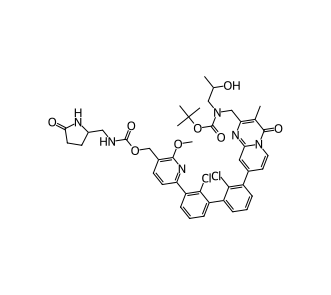 COc1nc(-c2cccc(-c3cccc(-c4ccn5c(=O)c(C)c(CN(CC(C)O)C(=O)OC(C)(C)C)nc5c4)c3Cl)c2Cl)ccc1COC(=O)NCC1CCC(=O)N1